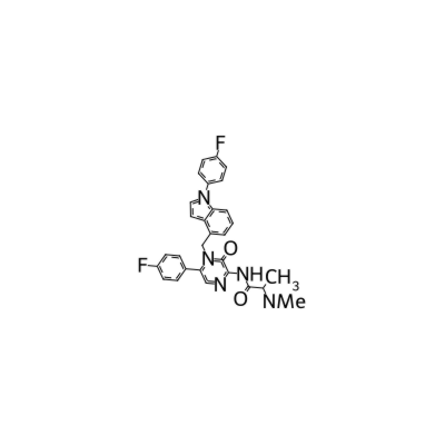 CNC(C)C(=O)Nc1ncc(-c2ccc(F)cc2)n(Cc2cccc3c2ccn3-c2ccc(F)cc2)c1=O